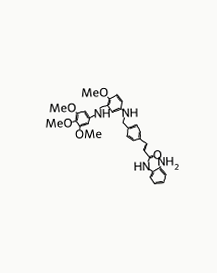 COc1ccc(NCc2ccc(C=CC(=O)Nc3ccccc3N)cc2)cc1CNc1cc(OC)c(OC)c(OC)c1